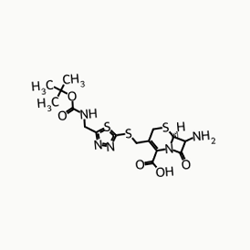 CC(C)(C)OC(=O)NCc1nnc(SCC2=C(C(=O)O)N3C(=O)C(N)[C@@H]3SC2)s1